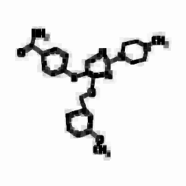 COc1cccc(COc2nc(N3CCN(C)CC3)ncc2Sc2ccc(C(N)=O)cc2)c1